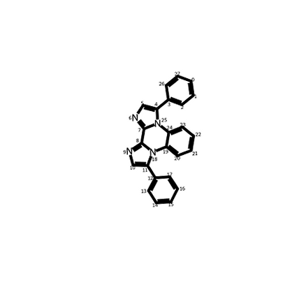 c1ccc(-c2cnc3c4ncc(-c5ccccc5)n4c4ccccc4n23)cc1